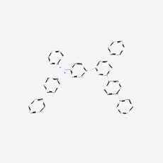 c1ccc(-c2ccc(-c3cc(-c4ccccc4)cc(-c4ccc(N(c5ccccc5)c5ccc(-c6ccccc6)cc5)cc4)c3)cc2)cc1